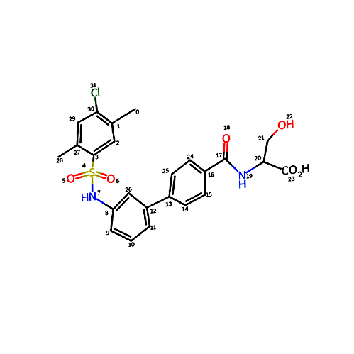 Cc1cc(S(=O)(=O)Nc2cccc(-c3ccc(C(=O)NC(CO)C(=O)O)cc3)c2)c(C)cc1Cl